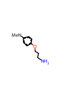 CNc1ccc(OCCCN)cc1